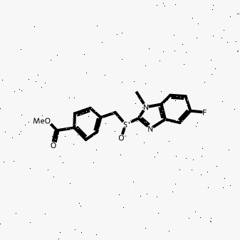 COC(=O)c1ccc(C[S+]([O-])c2nc3cc(F)ccc3n2C)cc1